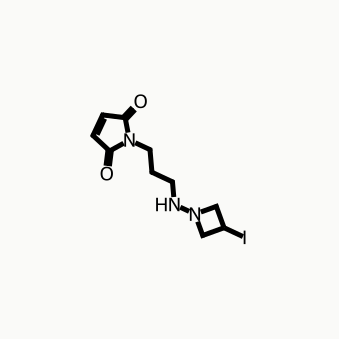 O=C1C=CC(=O)N1CCCNN1CC(I)C1